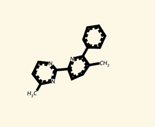 Cc1ccnc(-c2ccc(C)c(-c3ccccc3)n2)n1